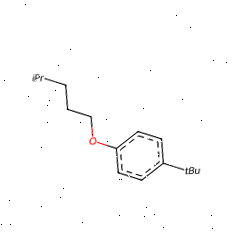 CC(C)CCCOc1ccc(C(C)(C)C)cc1